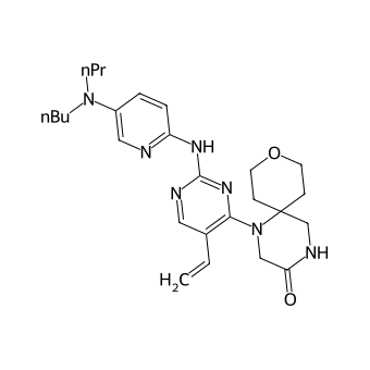 C=Cc1cnc(Nc2ccc(N(CCC)CCCC)cn2)nc1N1CC(=O)NCC12CCOCC2